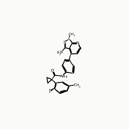 Cc1ccc(F)c(C2(C(=O)Nc3ccc(-c4ccnc5c4c(N)nn5C)cc3)CC2)c1